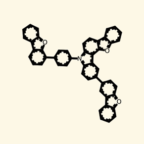 c1ccc2c(c1)oc1ccc(-c3ccc4c(c3)c3c5oc6ccccc6c5ccc3n4-c3ccc(-c4cccc5c4oc4ccccc45)cc3)cc12